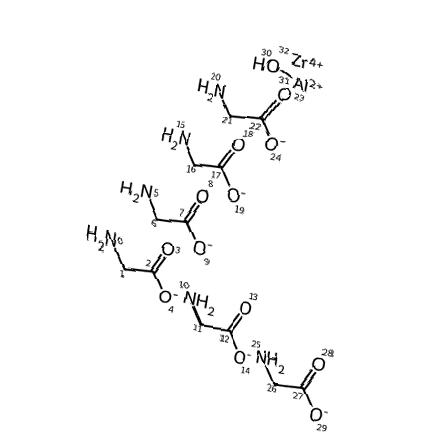 NCC(=O)[O-].NCC(=O)[O-].NCC(=O)[O-].NCC(=O)[O-].NCC(=O)[O-].NCC(=O)[O-].[OH][Al+2].[Zr+4]